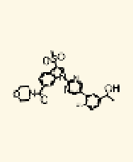 CC(O)c1ccc(F)c(-c2cnc(-n3cc(S(C)(=O)=O)c4ccc(C(=O)N5CCOCC5)cc43)nc2)c1